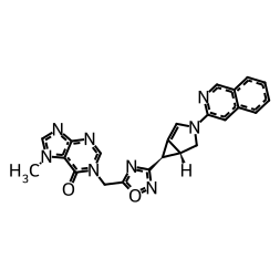 Cn1cnc2ncn(Cc3nc([C@H]4C5=CN(c6cc7ccccc7cn6)C[C@@H]54)no3)c(=O)c21